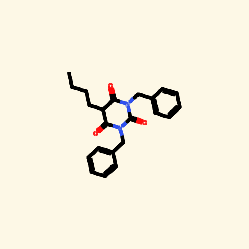 CCCCC1C(=O)N(Cc2ccccc2)C(=O)N(Cc2ccccc2)C1=O